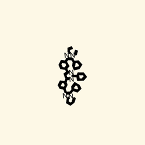 C=Cc1nc(-c2cccc(-c3cc(-c4cccc(-c5nc6ccccn6c5-c5ccccc5)c4)nc(-c4ccccc4)n3)c2)c(-c2ccccc2)n1C=C